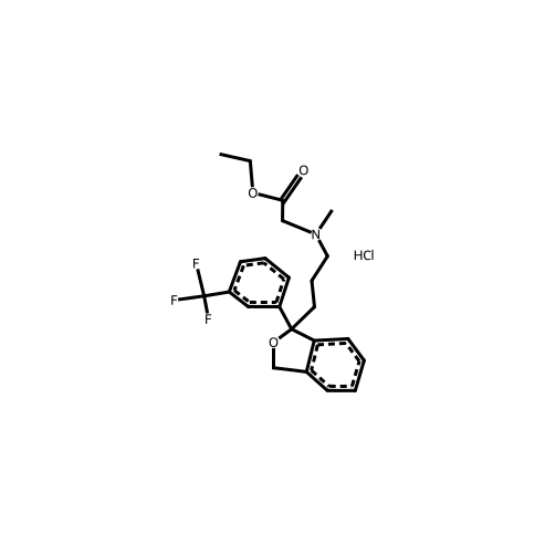 CCOC(=O)CN(C)CCCC1(c2cccc(C(F)(F)F)c2)OCc2ccccc21.Cl